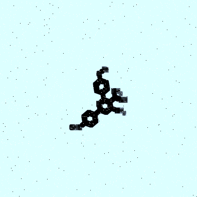 CCOc1ccc(-c2nc(-c3ccc(C=O)cc3)cc(N)c2C(=N)N)cc1